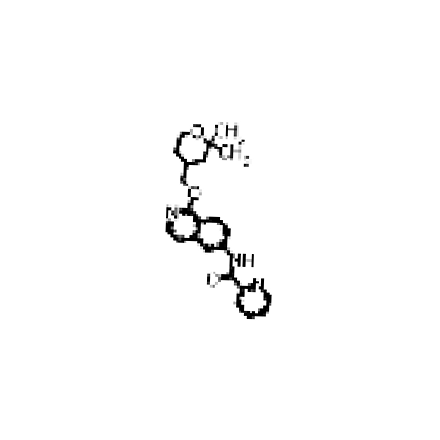 CC1(C)CC(COc2nccc3cc(NC(=O)c4ccccn4)ccc23)CCO1